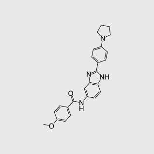 COc1ccc(C(=O)Nc2ccc3[nH]c(-c4ccc(N5CCCC5)cc4)nc3c2)cc1